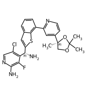 CC1(C)OC[C@@](C)(c2ccnc(-c3cccc4cc([C@H](N)c5c(Cl)cnc(N)c5F)sc34)c2)O1